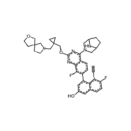 C#Cc1c(F)ccc2cc(O)cc(-c3ccc4c(N5CC6CCC(C5)N6)nc(OCC5(CN6CCC7(CCOC7)C6)CC5)nc4c3F)c12